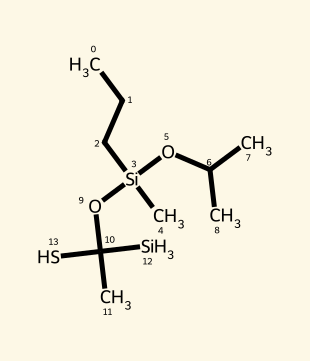 CCC[Si](C)(OC(C)C)OC(C)([SiH3])S